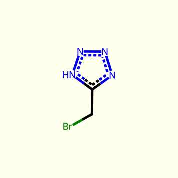 BrCc1nnn[nH]1